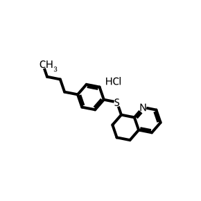 CCCCc1ccc(SC2CCCc3cccnc32)cc1.Cl